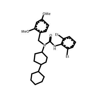 CCc1cccc(CC)c1NC(=O)N(Cc1ccc(OC)cc1OC)C1CCC(C2CCCCC2)CC1